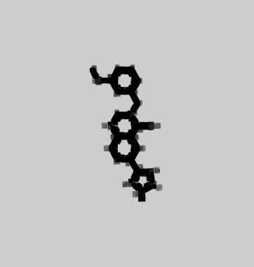 COc1cccc(Cn2cnc3ccc(-c4nn[nH]n4)cc3c2=O)c1